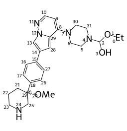 CCOC(O)N1CCN(c2ccnn3cc(-c4ccc([C@]5(OC)CCCNC5)cc4)cc23)CC1